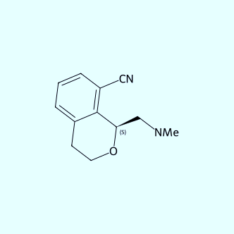 CNC[C@H]1OCCc2cccc(C#N)c21